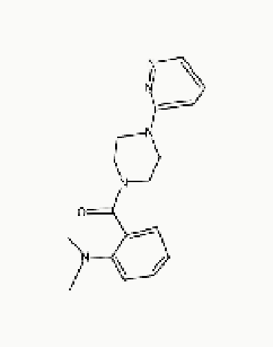 CN(C)c1ccccc1C(=O)N1CCN(c2cccnn2)CC1